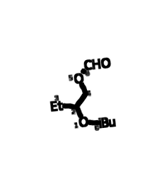 CCC(C)OC(CC)COC=O